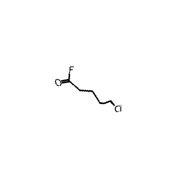 O=C(F)CCCCCl